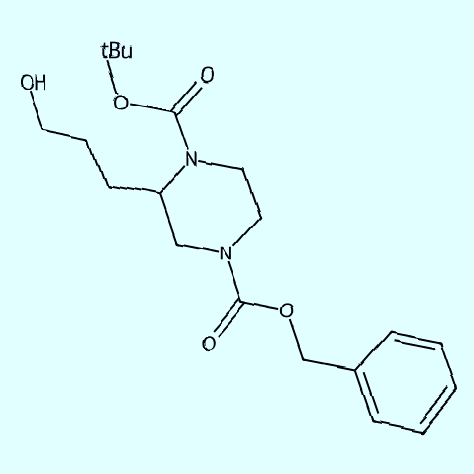 CC(C)(C)OC(=O)N1CCN(C(=O)OCc2ccccc2)CC1CCCO